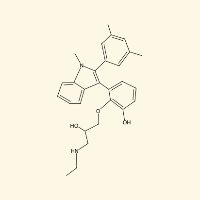 CCNCC(O)COc1c(O)cccc1-c1c(-c2cc(C)cc(C)c2)n(C)c2ccccc12